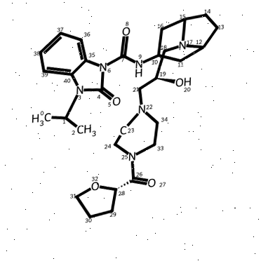 CC(C)n1c(=O)n(C(=O)NC2CC3CCC(C2)N3C[C@@H](O)CN2CCN(C(=O)[C@@H]3CCCO3)CC2)c2ccccc21